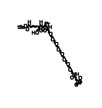 CC(C)[C@H](NC(=O)CCOCCOCCOCCOCCOCCOCCOCCOCCNC(=O)CCN1C(=O)C=CC1=O)C(=O)N[C@@H](CCCCNC(=O)OC(C)(C)C)C(=O)CO